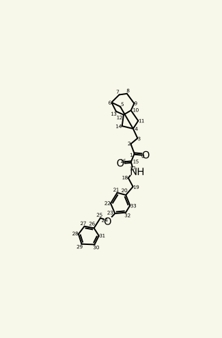 O=C(CCC12CC3CCCC(C1)C(C3)C2)C(=O)NCCc1ccc(OCc2ccccc2)cc1